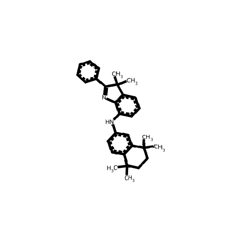 CC1(C)CCC(C)(C)c2cc(Nc3cccc4c3N=C(c3ccccc3)C4(C)C)ccc21